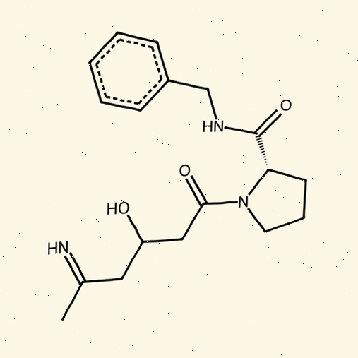 CC(=N)CC(O)CC(=O)N1CCC[C@H]1C(=O)NCc1ccccc1